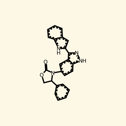 O=C1OCC(c2ccccc2)N1c1ccc2[nH]nc(-c3cc4ccccc4[nH]3)c2c1